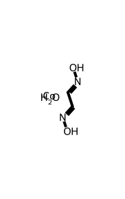 O.ON=CC=NO.[Co]